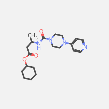 CC(CC(=O)OC1CCCCC1)NC(=O)N1CCN(c2ccncc2)CC1